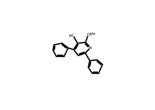 COc1nc(-c2ccccc2)cc(-c2ccccc2)c1C#N